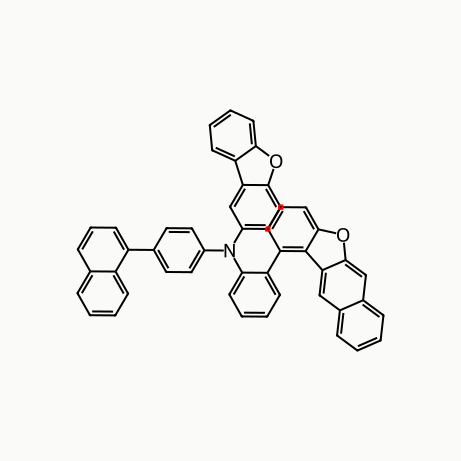 c1ccc(N(c2ccc(-c3cccc4ccccc34)cc2)c2ccc3oc4ccccc4c3c2)c(-c2cccc3oc4cc5ccccc5cc4c23)c1